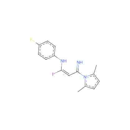 Cc1ccc(C)n1C(=N)/C=C(/I)Nc1ccc(F)cc1